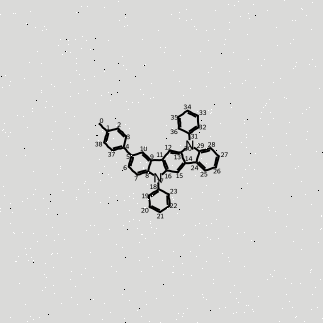 Cc1ccc(-c2ccc3c(c2)c2cc4c(cc2n3-c2ccccc2)c2ccccc2n4-c2ccccc2)cc1